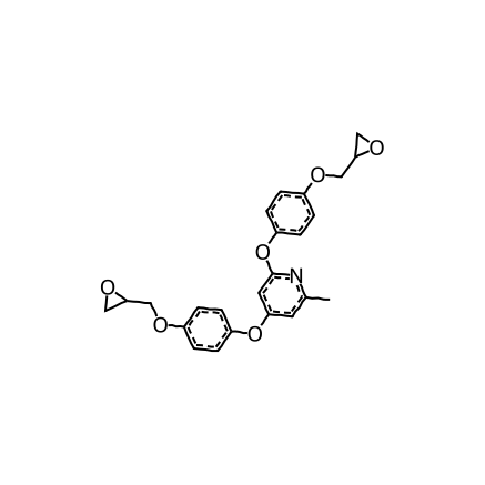 Cc1cc(Oc2ccc(OCC3CO3)cc2)cc(Oc2ccc(OCC3CO3)cc2)n1